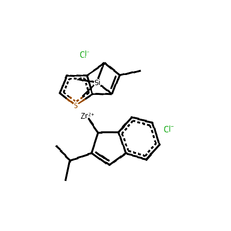 CC(C)C1=Cc2ccccc2[CH]1[Zr+2].CC1=C2c3sccc3C1[Si]2(C)C.[Cl-].[Cl-]